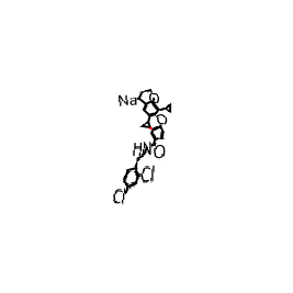 O=C(NCCc1ccc(Cl)cc1Cl)c1ccc(Oc2c(C3CC3)cc3c(c2C2CC2)OCC[CH]3[Na])cc1